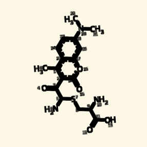 Cc1c(C(=O)C(N)SCC(N)C(=O)O)c(=O)oc2cc(N(C)C)ccc12